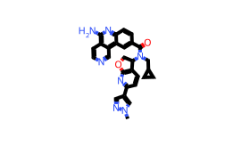 Cn1cc(-c2ccc3c(n2)OCC3N(CC2CC2)C(=O)c2ccc3nc(N)c4ccncc4c3c2)cn1